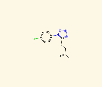 C=C(C)CCc1nnnn1-c1ccc(Cl)cc1